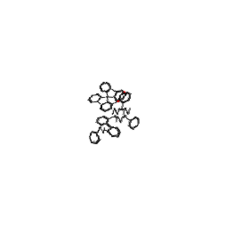 c1ccc(-c2nc(-c3ccccc3-c3cccc4c3C3(c5ccccc5-c5ccccc53)c3ccccc3-4)nc(-c3cccc4c3c3ccccc3n4-c3ccccc3)n2)cc1